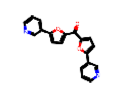 O=C(c1ccc(-c2cccnc2)o1)c1ccc(-c2cccnc2)o1